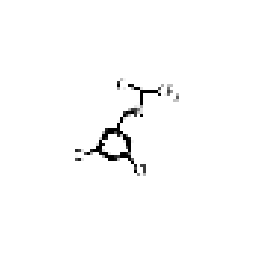 FC(F)(F)C(Cl)N=[C]c1cc(Cl)cc(Cl)c1